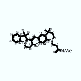 C=C(CCN1CCC(C)(C)c2cc3c(cc21)OC1CC[N+]2=C(C1=C3)C(C)(C)c1ccccc12)NC